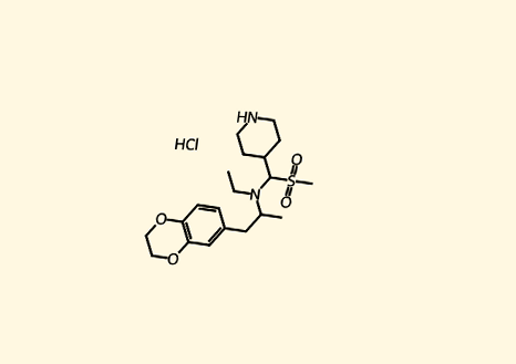 CCN(C(C)Cc1ccc2c(c1)OCCO2)C(C1CCNCC1)S(C)(=O)=O.Cl